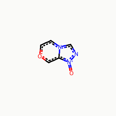 O=[n+]1ncn2ccocc1-2